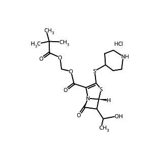 CC(O)C1C(=O)N2C(C(=O)OCOC(=O)C(C)(C)C)=C(SC3CCNCC3)S[C@H]12.Cl